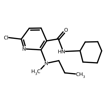 CCCN(C)c1nc(Cl)ccc1C(=O)NC1CCCCC1